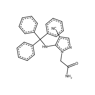 N#Cc1cnn(CC(N)=O)c1NC(c1ccccc1)(c1ccccc1)c1ccccc1